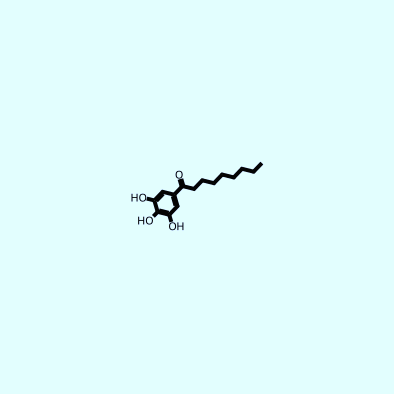 CCCCCCCCC(=O)c1cc(O)c(O)c(O)c1